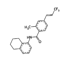 Cc1cc(C=CC(F)(F)F)ccc1C(=O)Nc1cccc2c1CCCC2